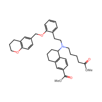 COC(=O)CCCCN(CCc1ccccc1OCc1ccc2c(c1)CCCO2)C1CCCc2cc(C(=O)OC)ccc21